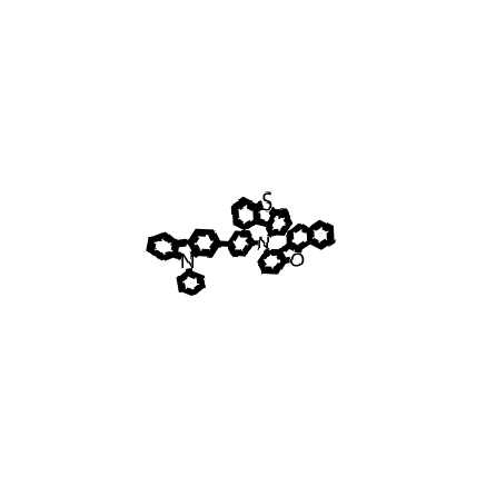 c1ccc(-n2c3ccccc3c3ccc(-c4ccc(N(c5cccc6oc7c8ccccc8ccc7c56)c5cccc6sc7ccccc7c56)cc4)cc32)cc1